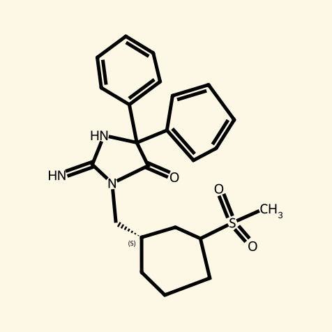 CS(=O)(=O)C1CCC[C@H](CN2C(=N)NC(c3ccccc3)(c3ccccc3)C2=O)C1